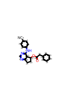 N#Cc1ccc(Nc2ncnc3c2C(OC(=O)Cc2ccccc2)CC3)cc1